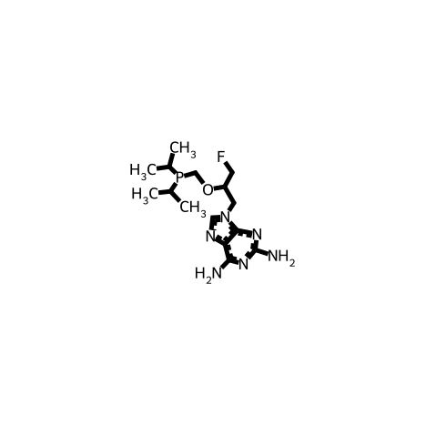 CC(C)P(COC(CF)Cn1cnc2c(N)nc(N)nc21)C(C)C